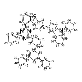 C1=CC2C(C=C1c1ccc3c(c1)sc1cccc(-c4nc(-c5ccccc5)nc(-c5cccc(C6C=C(c7ccccc7)C=C(c7ccccc7)C6)c5)n4)c13)c1ccccc1N2c1ccccc1